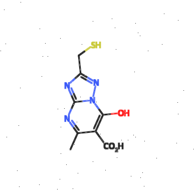 Cc1nc2nc(CS)nn2c(O)c1C(=O)O